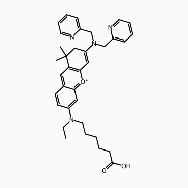 CCN(CCCCCC(=O)O)c1ccc2cc3c([o+]c2c1)C=C(N(Cc1ccccn1)Cc1ccccn1)CC3(C)C